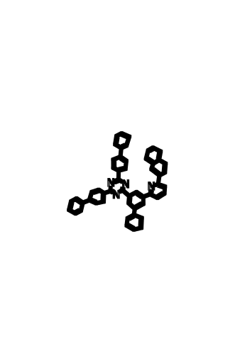 c1ccc(-c2ccc(-c3nc(-c4ccc(-c5ccccc5)cc4)nc(-c4cc(-c5ccccc5)cc(-c5cccc(-c6ccc7ccccc7c6)n5)c4)n3)cc2)cc1